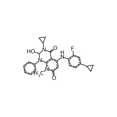 Cn1c2c(c(Nc3ccc(C4CC4)cc3F)cc1=O)C(=O)N(C1CC1)C(O)N2c1ccccc1